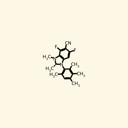 Cc1cc(C)c(N2c3cc(F)c(C#N)c(F)c3N(C)[C@@H]2C)c(C)c1C